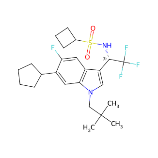 CC(C)(C)Cn1cc([C@H](NS(=O)(=O)C2CCC2)C(F)(F)F)c2cc(F)c(C3CCCC3)cc21